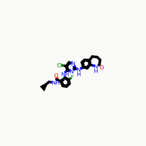 O=C1CCCc2ccc(Nc3ncc(Cl)c(Nc4c(F)cccc4C(=O)NCC4CC4)n3)cc2N1